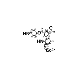 CC(=O)c1cccc(C(C)=O)n1.N=C1C=CC=CC1.N=C1C=CC=CC1.[Cl-].[Cl-].[Co+2]